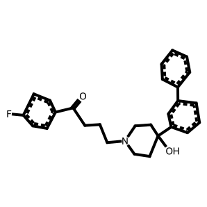 O=C(CCCN1CCC(O)(c2cccc(-c3ccccc3)c2)CC1)c1ccc(F)cc1